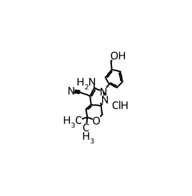 CC1(C)C=C2C(=NN(c3cccc(CO)c3)C(N)=C2C#N)CO1.Cl